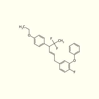 CCOc1ccc(C(C=CCc2ccc(F)c(Oc3ccccc3)c2)C(C)(F)F)cc1